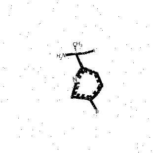 C[C@](N)(I)c1ccc(F)cn1